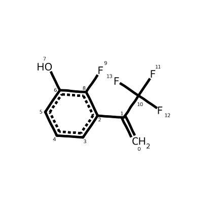 C=C(c1cccc(O)c1F)C(F)(F)F